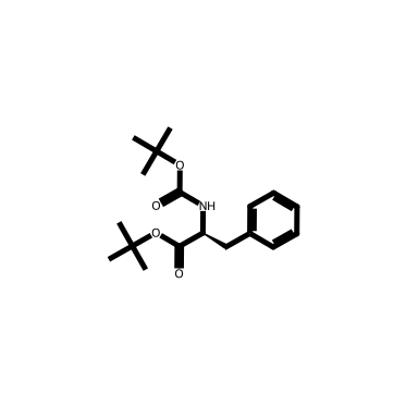 CC(C)(C)OC(=O)N[C@@H](Cc1ccccc1)C(=O)OC(C)(C)C